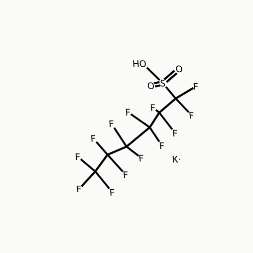 O=S(=O)(O)C(F)(F)C(F)(F)C(F)(F)C(F)(F)C(F)(F)C(F)(F)F.[K]